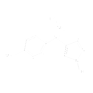 COc1ccc([C@H](N)c2cnn(C)c2)cc1.Cl